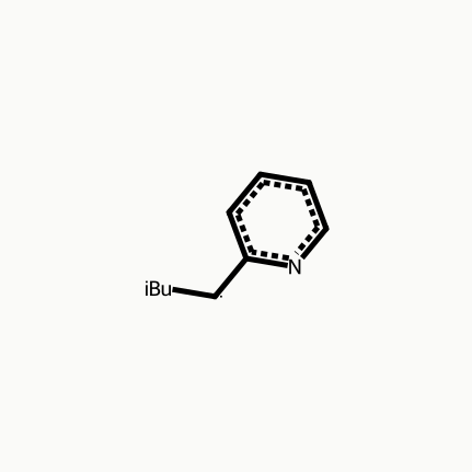 CCC(C)[CH]c1ccccn1